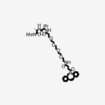 CNC(=O)[C@H](C)NC(=O)[C@@H](NC(=O)CCOCCOCCOCCOCCNC(=O)CCC(=O)N1Cc2ccccc2C#Cc2ccccc21)C(C)C